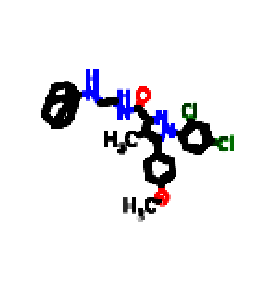 COc1ccc(-c2c(C)c(C(=O)NCCNC3C4CC5CC(C4)CC3C5)nn2-c2ccc(Cl)cc2Cl)cc1